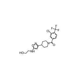 O=C(c1ccc(C(F)(F)F)c(Cl)c1)N1CCC(c2cc(NCCO)on2)CC1